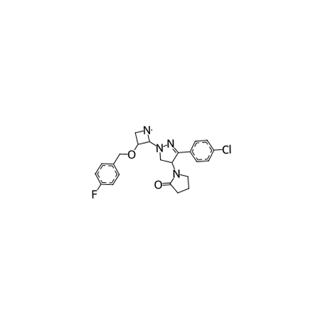 O=C1CCCN1C1CN(C2[N]CC2OCc2ccc(F)cc2)N=C1c1ccc(Cl)cc1